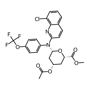 COC(=O)[C@@H]1C[C@H](OC(C)=O)C[C@H](N(c2ccc(OC(F)(F)F)cc2)c2ccc3cccc(Cl)c3n2)O1